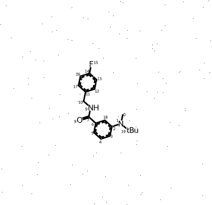 CN(c1cccc(C(=O)NCc2ccc(F)cc2)c1)C(C)(C)C